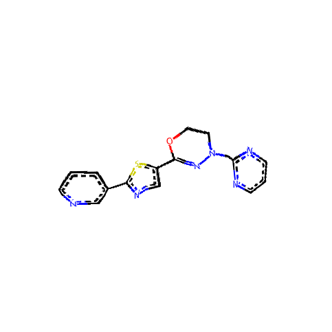 c1cnc(N2CCOC(c3cnc(-c4cccnc4)s3)=N2)nc1